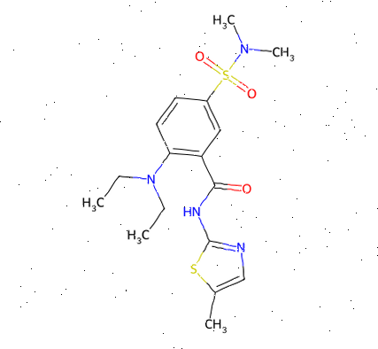 CCN(CC)c1ccc(S(=O)(=O)N(C)C)cc1C(=O)Nc1ncc(C)s1